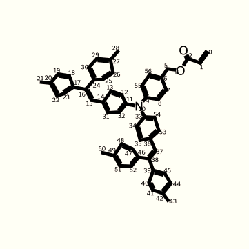 C=CC(=O)OCc1ccc(N(c2ccc(C=C(c3ccc(C)cc3)c3ccc(C)cc3)cc2)c2ccc(C=C(c3ccc(C)cc3)c3ccc(C)cc3)cc2)cc1